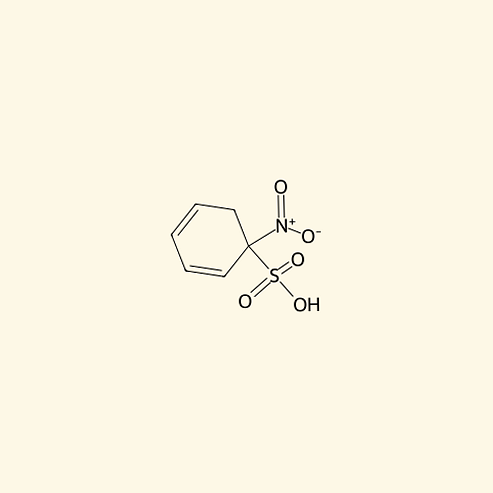 O=[N+]([O-])C1(S(=O)(=O)O)C=CC=CC1